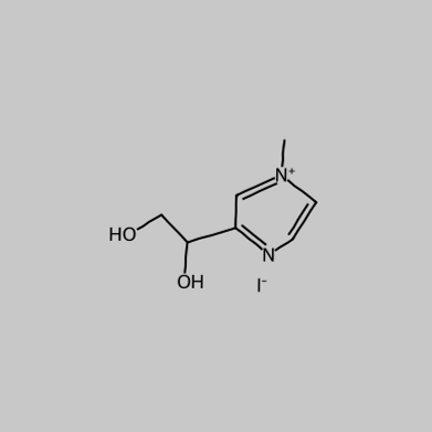 C[n+]1ccnc(C(O)CO)c1.[I-]